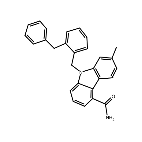 Cc1c[c]c2c3c(C(N)=O)cccc3n(Cc3ccccc3Cc3ccccc3)c2c1